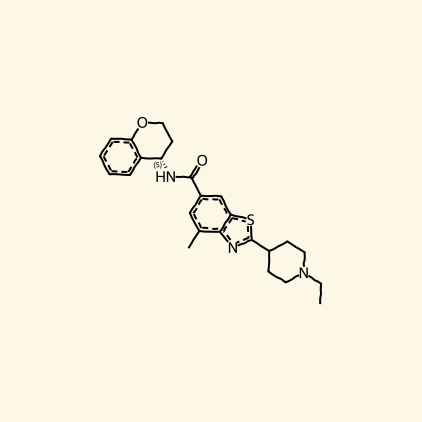 CCN1CCC(c2nc3c(C)cc(C(=O)N[C@H]4CCOc5ccccc54)cc3s2)CC1